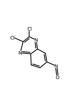 O=Nc1ccc2nc(Cl)c(Cl)nc2c1